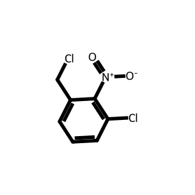 O=[N+]([O-])c1c(Cl)cccc1CCl